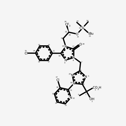 CC(O)(C(=O)O)c1nc(Cn2nc(-c3ccc(Cl)cc3)n(C[C@H](O[Si](C)(C)C(C)(C)C)C(F)(F)F)c2=O)nn1-c1ncccc1Cl